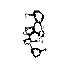 Fc1cccc(-n2ncc(-c3onc(-c4c(F)cccc4Cl)c3-c3nnco3)c2C(F)(F)F)c1